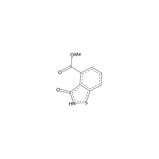 COC(=O)c1cccc2s[nH]c(=O)c12